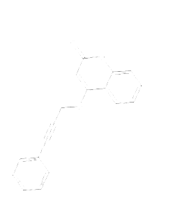 O=c1cc(OCC#Cc2ccccc2)c2ccccc2o1